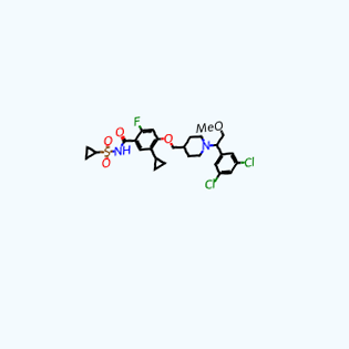 COCC(c1cc(Cl)cc(Cl)c1)N1CCC(COc2cc(F)c(C(=O)NS(=O)(=O)C3CC3)cc2C2CC2)CC1